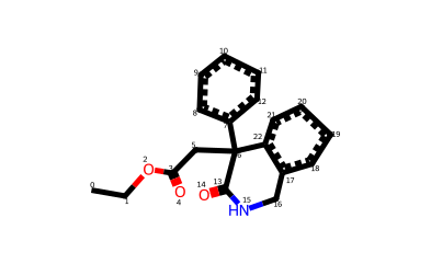 CCOC(=O)CC1(c2ccccc2)C(=O)NCc2ccccc21